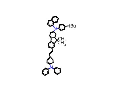 CC(C)(C)c1ccc(N(C2=CC=C3c4ccc(/C=C/C5=CC=C(N(c6ccccc6)c6ccccc6)CC5)cc4C(C)(C)C3C2)c2cccc3ccccc23)cc1